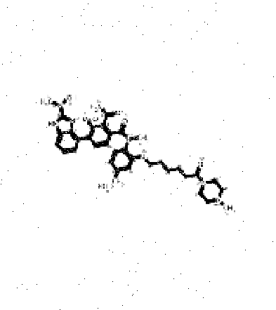 COc1c(-c2cccc3[nH]c(N(C)C)nc23)ccc(C(=O)N(C)c2ccc(C)cc2OCCCCCC(=O)N2CCN(C)CC2)c1C(N)=O.Cl